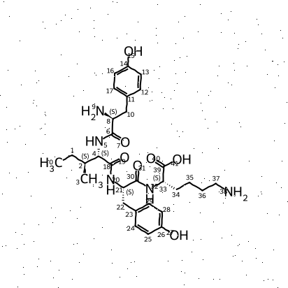 CC[C@H](C)[C@H](NC(=O)[C@@H](N)Cc1ccc(O)cc1)C(=O)N[C@@H](Cc1ccc(O)cc1)C(=O)N[C@@H](CCCCN)C(=O)O